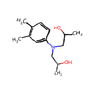 Cc1ccc(N(CC(C)O)CC(C)O)cc1C